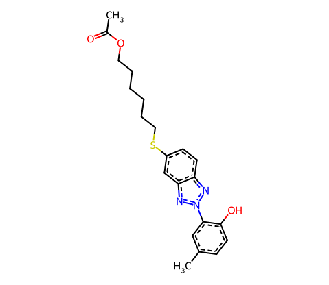 CC(=O)OCCCCCCSc1ccc2nn(-c3cc(C)ccc3O)nc2c1